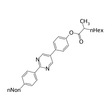 CCCCCCCCCc1ccc(-c2ncc(-c3ccc(OC(=O)C(C)CCCCCC)cc3)cn2)cc1